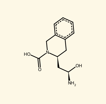 N[C@H](O)C[C@@H]1Cc2ccccc2CN1C(=O)O